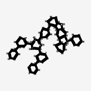 c1ccc(-c2cccc(-c3nc(-c4ccc(-c5cccc6oc7cc8c(cc7c56)c5ccccc5n8-c5ccccc5)cc4)nc(-c4cccc(-c5ccccc5)c4)n3)c2)cc1